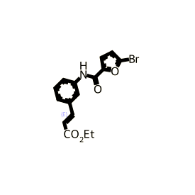 CCOC(=O)/C=C/c1cccc(NC(=O)c2ccc(Br)o2)c1